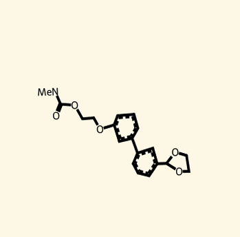 CNC(=O)OCCOc1cccc(-c2cccc(C3OCCO3)c2)c1